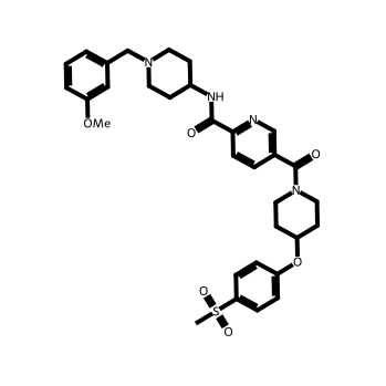 COc1cccc(CN2CCC(NC(=O)c3ccc(C(=O)N4CCC(Oc5ccc(S(C)(=O)=O)cc5)CC4)cn3)CC2)c1